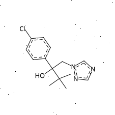 CC(C)(C)C(O)(Cn1cncn1)c1ccc(Cl)cc1